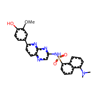 COc1cc(-c2ccc3ncc(NS(=O)(=O)c4cccc5c(N(C)C)cccc45)nc3n2)ccc1O